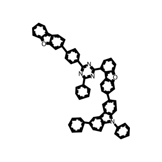 c1ccc(-c2ccc3c(c2)c2cc(-c4ccc5c(c4)oc4cccc(-c6nc(-c7ccccc7)nc(-c7ccc(-c8ccc9c(c8)oc8ccccc89)cc7)n6)c45)ccc2n3-c2ccccc2)cc1